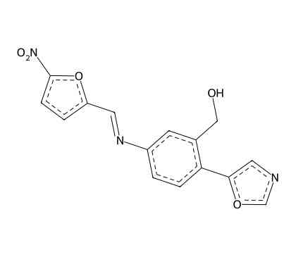 O=[N+]([O-])c1ccc(/C=N/c2ccc(-c3cnco3)c(CO)c2)o1